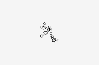 O=C(C1CCC1)N1Cc2cc(Cl)ccc2-n2c(nnc2C2CC3(C2)CN(c2cccc(F)n2)C3)C1